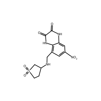 O=c1[nH]c2cc([N+](=O)[O-])cc(CNC3CCS(=O)(=O)C3)c2[nH]c1=O